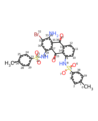 Cc1ccc(S(=O)(=O)Nc2cccc3c2C(=O)c2c(NS(=O)(=O)c4ccc(C)cc4)cc(Br)c(N)c2C3=O)cc1